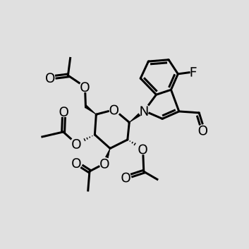 CC(=O)OC[C@H]1O[C@@H](n2cc(C=O)c3c(F)cccc32)[C@H](OC(C)=O)[C@@H](OC(C)=O)[C@@H]1OC(C)=O